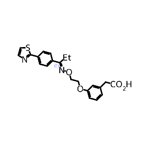 CC/C(=N\OCCOc1cccc(CC(=O)O)c1)c1ccc(-c2nccs2)cc1